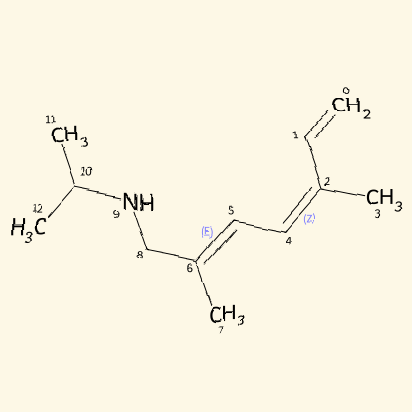 C=C/C(C)=C\C=C(/C)CNC(C)C